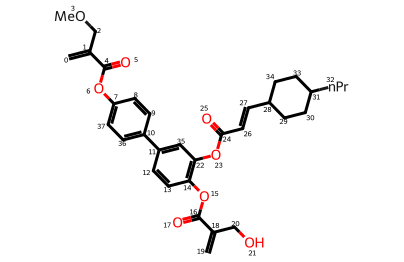 C=C(COC)C(=O)Oc1ccc(-c2ccc(OC(=O)C(=C)CO)c(OC(=O)/C=C/C3CCC(CCC)CC3)c2)cc1